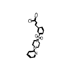 O=C(Cl)/C=C/c1cccc(S(=O)(=O)N2CCN(c3ccccn3)CC2)c1